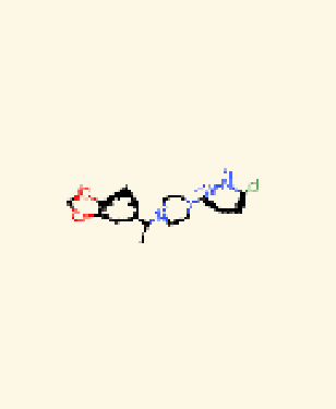 CC(c1ccc2c(c1)OCO2)N1CCN(C2=CC=C(Cl)NN2)CC1